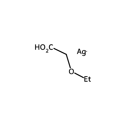 CCOCC(=O)O.[Ag]